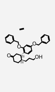 C=C.O=C1CC[C@H](CCCO)[C@@H](c2ccc(OCc3ccccc3)cc2OCc2ccccc2)C1